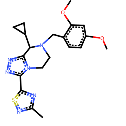 COc1ccc(CN2CCn3c(-c4nc(C)ns4)nnc3C2C2CC2)c(OC)c1